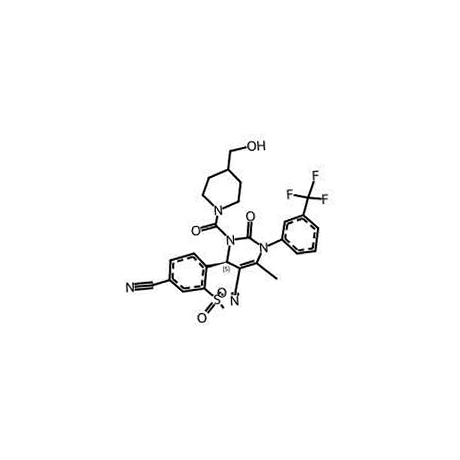 CC1=C(C#N)[C@@H](c2ccc(C#N)cc2S(C)(=O)=O)N(C(=O)N2CCC(CO)CC2)C(=O)N1c1cccc(C(F)(F)F)c1